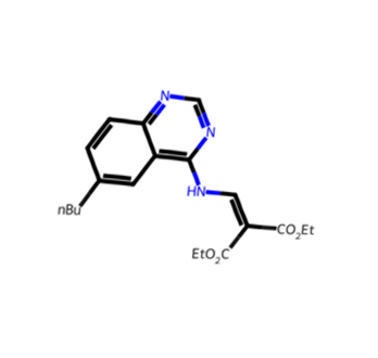 CCCCc1ccc2ncnc(NC=C(C(=O)OCC)C(=O)OCC)c2c1